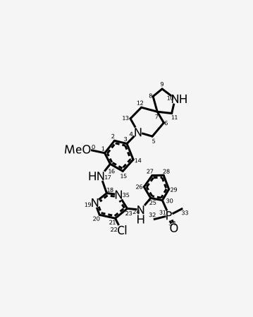 COc1cc(N2CCC3(CCNC3)CC2)ccc1Nc1ncc(Cl)c(Nc2ccccc2P(C)(C)=O)n1